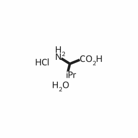 CC(C)C(N)C(=O)O.Cl.O